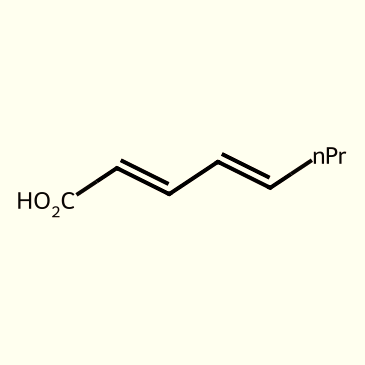 CCCC=CC=CC(=O)O